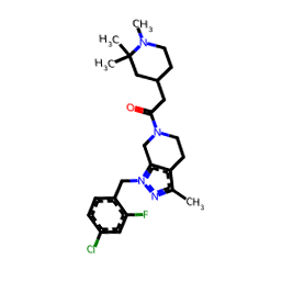 Cc1nn(Cc2ccc(Cl)cc2F)c2c1CCN(C(=O)CC1CCN(C)C(C)(C)C1)C2